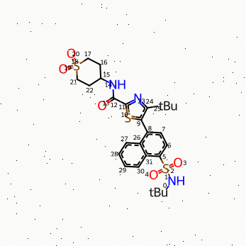 CC(C)(C)NS(=O)(=O)c1ccc(-c2sc(C(=O)NC3CCS(=O)(=O)CC3)nc2C(C)(C)C)c2ccccc12